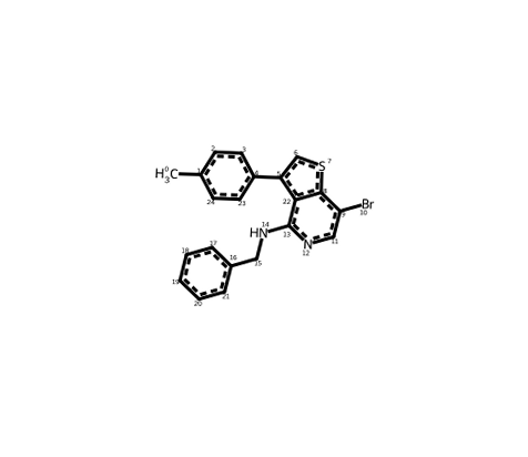 Cc1ccc(-c2csc3c(Br)cnc(NCc4ccccc4)c23)cc1